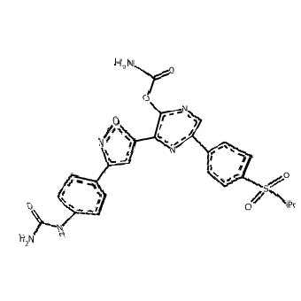 CC(C)S(=O)(=O)c1ccc(-c2cnc(OC(N)=O)c(-c3cc(-c4ccc(NC(N)=O)cc4)no3)n2)cc1